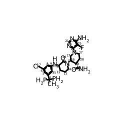 CC(P)(P)c1cc(Cl)cc(N[C@@H]2CCCN([C@H]3CN(c4ncnc(N)c4F)CC[C@@H]3C(N)=O)C2=O)c1